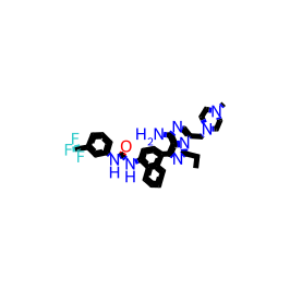 CCc1nc(-c2ccc(NC(=O)Nc3cccc(C(F)(F)F)c3)c3ccccc23)c2c(N)ncc(CN3CCN(C)CC3)n12